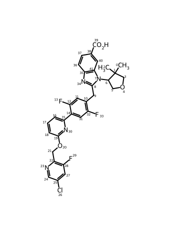 CC1(C)COCC1n1c(Cc2cc(F)c(-c3cccc(OCc4ncc(Cl)cc4F)n3)cc2F)nc2ccc(C(=O)O)cc21